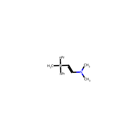 CCC[Si](C)(C=CN(C)C)CCC